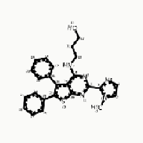 Cn1ccnc1-c1nc(NCCCO)c2c(-c3ccccc3)c(-c3ccccc3)sc2n1